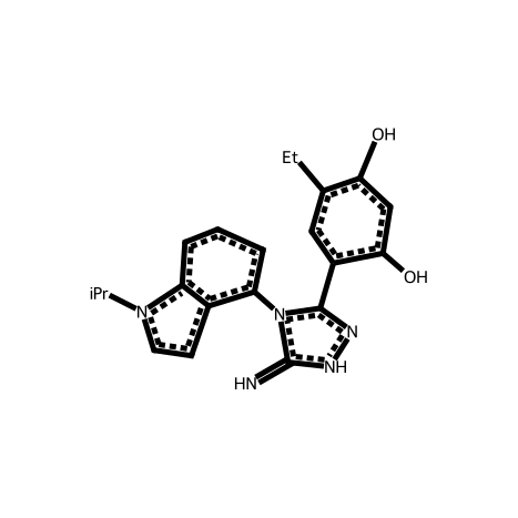 CCc1cc(-c2n[nH]c(=N)n2-c2cccc3c2ccn3C(C)C)c(O)cc1O